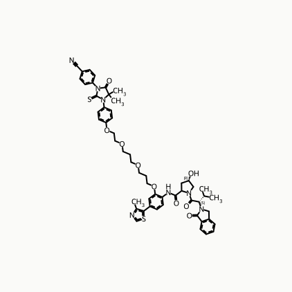 Cc1ncsc1-c1ccc(NC(=O)C2C[C@@H](O)CN2C(=O)[C@H](C(C)C)N2Cc3ccccc3C2=O)c(OCCCOCCCOCCOc2ccc(N3C(=S)N(c4ccc(C#N)cc4)C(=O)C3(C)C)cc2)c1